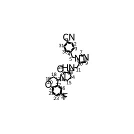 N#Cc1ccc(Cn2cncc2CN[C@H]2CCN(C3CCOc4ccc(F)cc43)C2=O)cc1